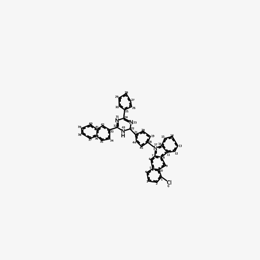 Clc1cccc2cc3c(cc12)c1ccccc1n3-c1ccc(C2N=C(c3ccccc3)N=C(c3ccc4ccccc4c3)N2)cc1